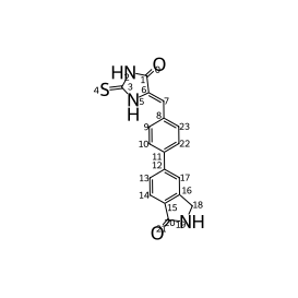 O=C1NC(=S)N/C1=C\c1ccc(-c2ccc3c(c2)CNC3=O)cc1